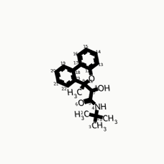 CC(C)(C)NC(=O)C(O)C1(C)Oc2ccccc2-c2ccccc21